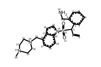 C=CC(c1ccccc1CN)S(=O)(=O)n1ccc2c(CN3CCN(C)CC3)cccc21